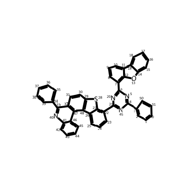 c1ccc(-c2nc(-c3cccc4c3oc3ccccc34)nc(-c3cccc4c3sc3ccc5c(-c6ccccc6)nc6ccccc6c5c34)n2)cc1